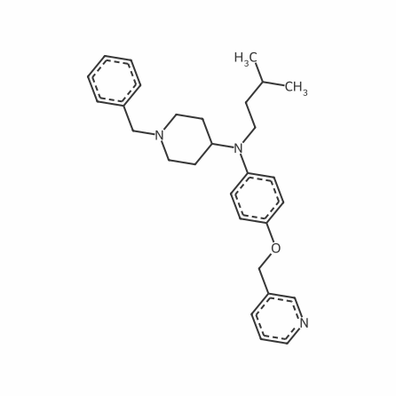 CC(C)CCN(c1ccc(OCc2cccnc2)cc1)C1CCN(Cc2ccccc2)CC1